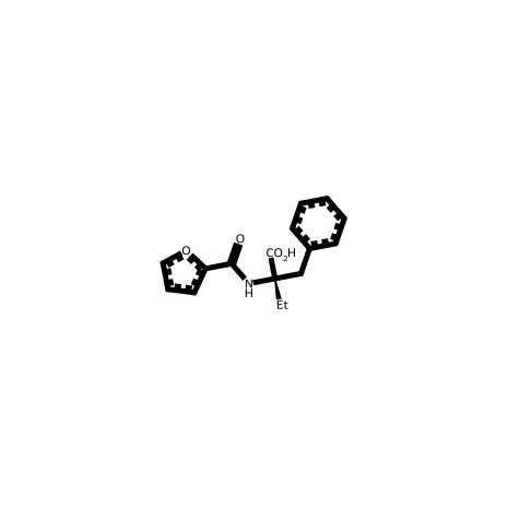 CC[C@@](Cc1ccccc1)(NC(=O)c1ccco1)C(=O)O